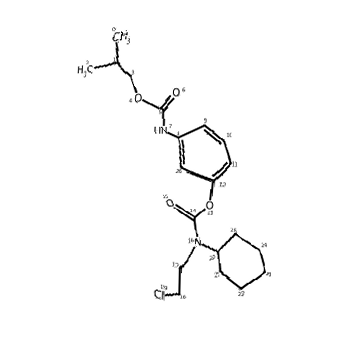 CC(C)COC(=O)Nc1cccc(OC(=O)N(CCCl)C2CCCCC2)c1